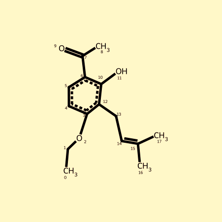 CCOc1ccc(C(C)=O)c(O)c1CC=C(C)C